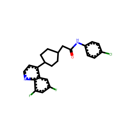 O=C(CC1CCC(c2ccnc3c(F)cc(F)cc23)CC1)Nc1ccc(Cl)cc1